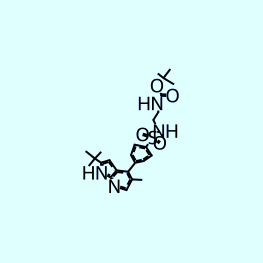 Cc1cnc2[nH]c(C(C)(C)C)cc2c1-c1ccc(S(=O)(=O)NCCNC(=O)OC(C)(C)C)cc1